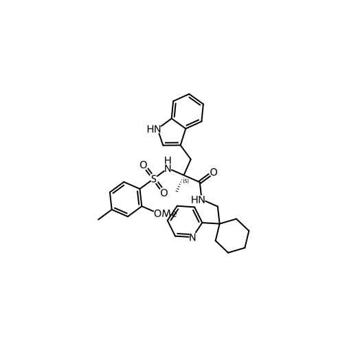 COc1cc(C)ccc1S(=O)(=O)N[C@@](C)(Cc1c[nH]c2ccccc12)C(=O)NCC1(c2ccccn2)CCCCC1